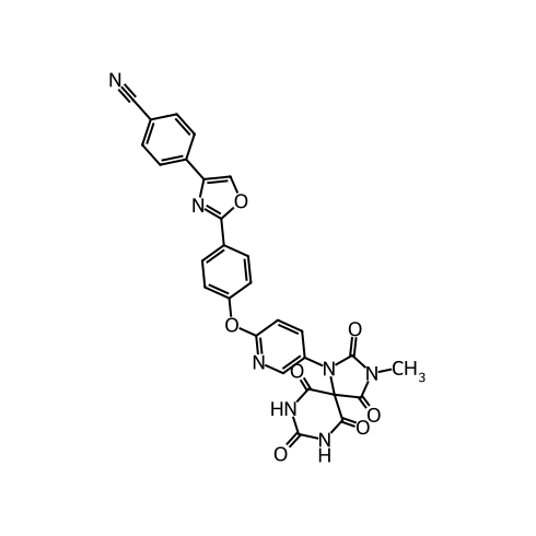 CN1C(=O)N(c2ccc(Oc3ccc(-c4nc(-c5ccc(C#N)cc5)co4)cc3)nc2)C2(C(=O)NC(=O)NC2=O)C1=O